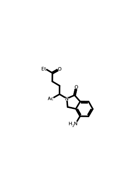 CCC(=O)CCC(C(C)=O)N1Cc2c(N)cccc2C1=O